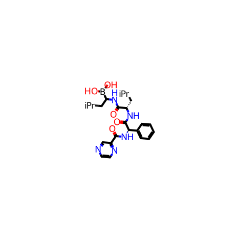 CC(C)CC(NC(=O)[C@H](CC(C)C)NC(=O)[C@@H](NC(=O)c1cnccn1)c1ccccc1)B(O)O